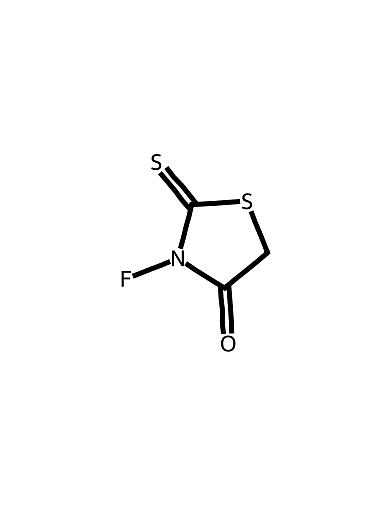 O=C1CSC(=S)N1F